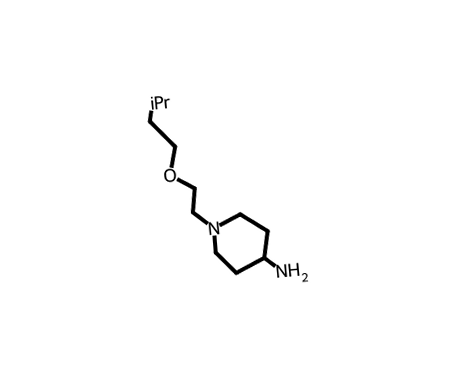 CC(C)CCOCCN1CCC(N)CC1